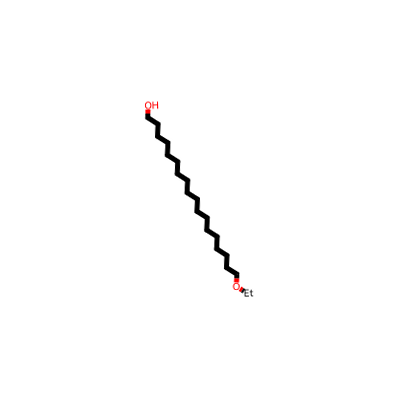 CCOCCCCCCCCCCCCCCCCCCO